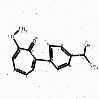 COc1ccccc(-c2ccc(C(C)C)cc2)c1=O